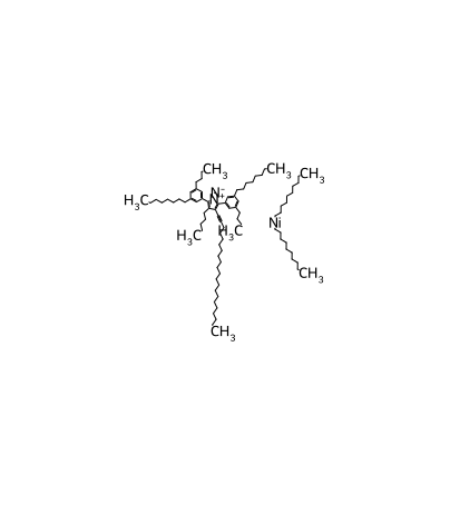 CCCCCCCCCCCCCCCCCCCC#CC1=C(c2cc(CCCC)cc(CCCCCCCC)c2)[N+](=[N-])C(c2cc(CCCC)cc(CCCCCCCC)c2)=C1CCCCC.CCCCCCCCC[CH2][Ni][CH2]CCCCCCCCC